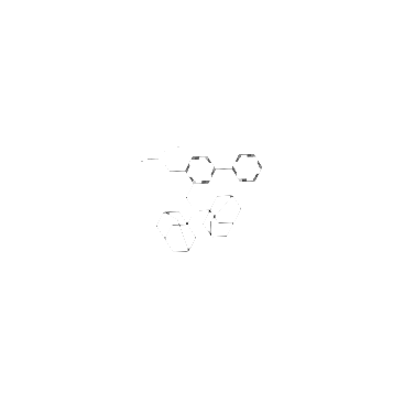 CC(C)(C)P(Cc1ccc(-c2ccccc2)cc1CP(C12CC3CC(CC(C3)C1)C2)C12CC3CC(CC(C3)C1)C2)C(C)(C)C